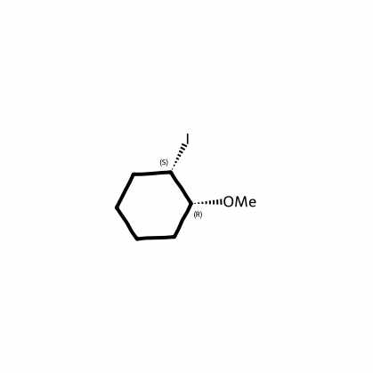 CO[C@@H]1CCCC[C@@H]1I